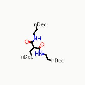 CCCCCCCCCCCCNC(=O)C(CCCCCCCCCCC)C(=O)NCCCCCCCCCCCC